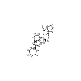 COc1ccccc1N1CCN(CC(CC(=O)N2CCCCCC2)c2ccccn2)CC1